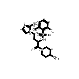 CC1CCN(C(=O)C(CCn2ccnc2[N+](=O)[O-])NS(=O)(=O)c2c(Cl)cccc2Cl)CC1